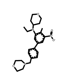 CCN(c1cc(-c2ccc(CN3CCOCC3)cc2)cc([N+](=O)[O-])c1C)C1CCOCC1